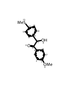 COc1ccc(C(=O)C(O)c2ccc(SC)cc2)cc1